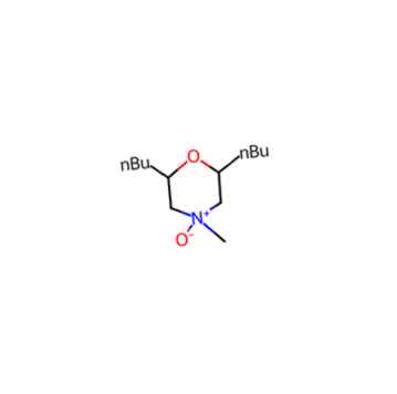 CCCCC1C[N+](C)([O-])CC(CCCC)O1